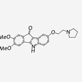 COc1cc2c(cc1OC)-c1[nH]c3ccc(OCCN4CCCC4)cc3c1C2=O